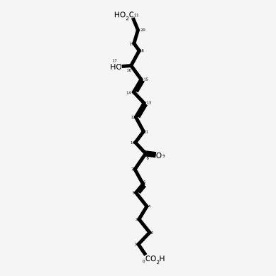 O=C(O)CCCCC=CCC(=O)CCC=CC=CC(O)CCCC(=O)O